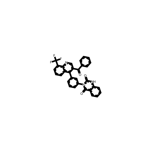 O=C(c1ccccc1)c1cnc2c(C(F)(F)F)cccc2c1-c1cccc(-n2c(=O)[nH]c3ccccc3c2=O)c1